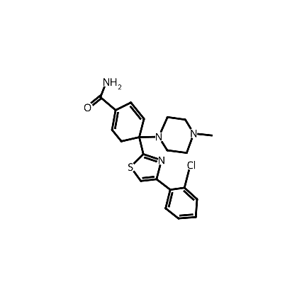 CN1CCN(C2(c3nc(-c4ccccc4Cl)cs3)C=CC(C(N)=O)=CC2)CC1